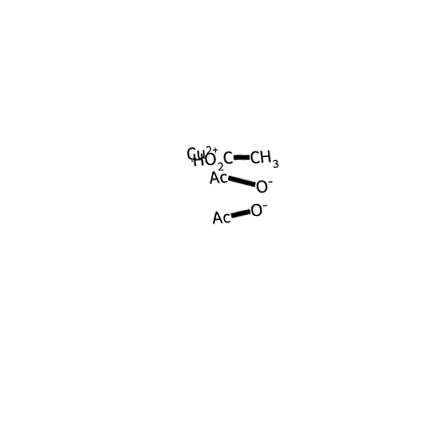 CC(=O)O.CC(=O)[O-].CC(=O)[O-].[Cu+2]